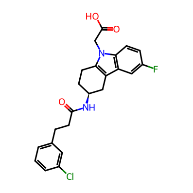 O=C(O)Cn1c2c(c3cc(F)ccc31)C[C@@H](NC(=O)CCc1cccc(Cl)c1)CC2